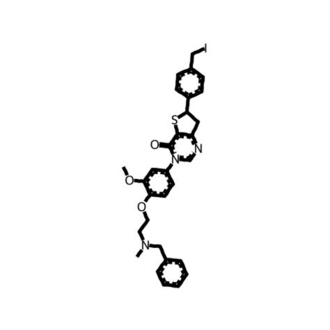 COc1cc(-n2cnc3c(c2=O)SC(c2ccc(CI)cc2)C3)ccc1OCCN(C)Cc1ccccc1